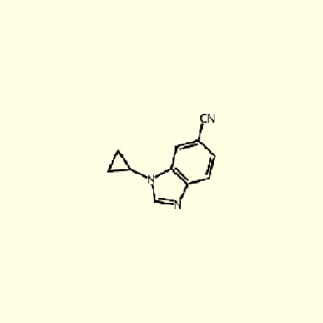 N#Cc1ccc2ncn(C3CC3)c2c1